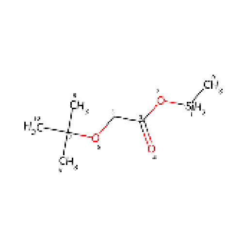 C[SiH2]OC(=O)COC(C)(C)C